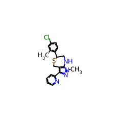 Cc1cc(Cl)ccc1C1CNc2c(c(-c3ccccn3)nn2C)CS1